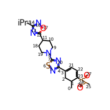 CC1CC(c2nsc(N3CCC(c4nc(C(C)C)no4)CC3)n2)=CC=C1S(C)(=O)=O